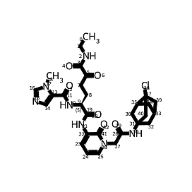 CCNC(=O)C(=O)CC[C@H](NC(=O)c1cncn1C)C(=O)Nc1cccn(CC(=O)NC23CC4CC(C2)C(Cl)(C4)C3)c1=O